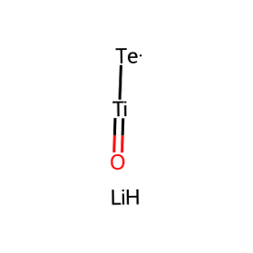 [LiH].[O]=[Ti][Te]